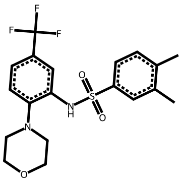 Cc1ccc(S(=O)(=O)Nc2cc(C(F)(F)F)ccc2N2CCOCC2)cc1C